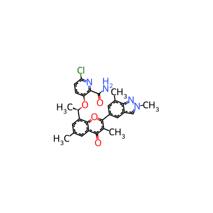 Cc1cc([C@@H](C)Oc2ccc(Cl)nc2C(N)=O)c2oc(-c3cc(C)c4nn(C)cc4c3)c(C)c(=O)c2c1